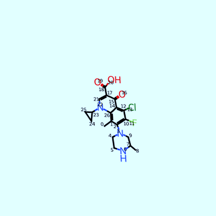 Cc1c(N2CCNC(C)C2)c(F)c(Cl)c2c(=O)c(C(=O)O)cn(C3CC3)c12